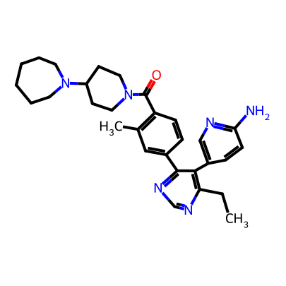 CCc1ncnc(-c2ccc(C(=O)N3CCC(N4CCCCCC4)CC3)c(C)c2)c1-c1ccc(N)nc1